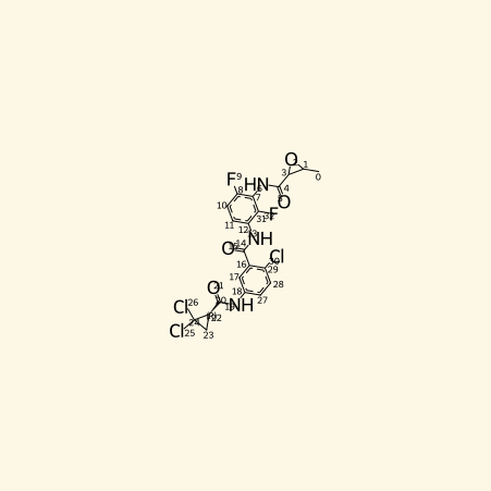 CC1OC1C(=O)Nc1c(F)ccc(NC(=O)c2cc(NC(=O)[C@H]3CC3(Cl)Cl)ccc2Cl)c1F